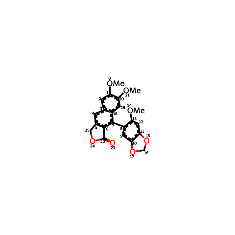 COc1cc2cc3c(c(-c4cc5c(cc4OC)OCO5)c2cc1OC)C(=O)OC3